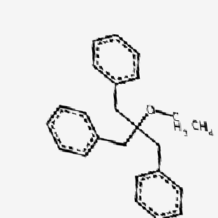 C.COC(Cc1ccccc1)(Cc1ccccc1)Cc1ccccc1